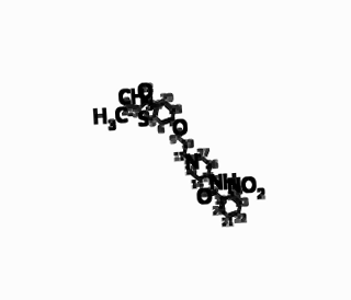 CC(C)=C1Sc2cc(OCCCN3CCC(NC(=O)c4ccccc4[N+](=O)[O-])CC3)ccc2C1=O